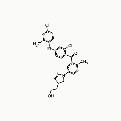 Cc1cc(Cl)ccc1Nc1ccc(C(=O)c2cc(N3CC(CCO)N=N3)ccc2C)c(Cl)c1